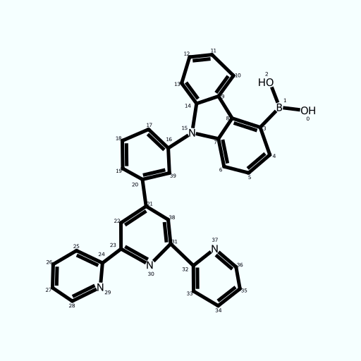 OB(O)c1cccc2c1c1ccccc1n2-c1cccc(-c2cc(-c3ccccn3)nc(-c3ccccn3)c2)c1